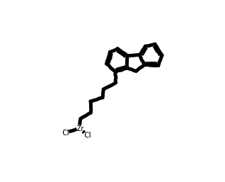 [Cl][Zr]([Cl])[CH2]CCCCCc1cccc2c1Cc1ccccc1-2